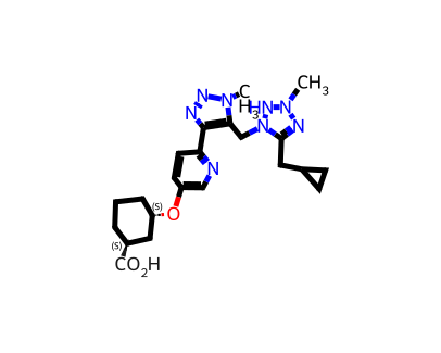 CN1N=C(CC2CC2)N(Cc2c(-c3ccc(O[C@H]4CCC[C@H](C(=O)O)C4)cn3)nnn2C)N1